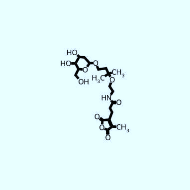 CC1=C(CCC(=O)NCCOC(C)(C)CCOC2CC(O)C(O)C(CO)O2)C(=O)OC1=O